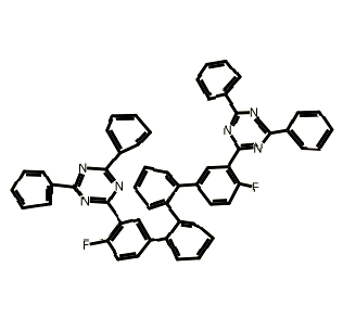 Fc1ccc(-c2ccccc2-c2ccccc2-c2ccc(F)c(-c3nc(-c4ccccc4)nc(-c4ccccc4)n3)c2)cc1-c1nc(-c2ccccc2)nc(-c2ccccc2)n1